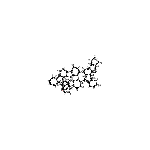 c1ccc(-n2c3ccccc3c3cccc([Si](c4ccccc4)(c4ccccc4)c4cccc(-n5c6ccccc6c6c7sc8ccccc8c7ccc65)c4)c32)cc1